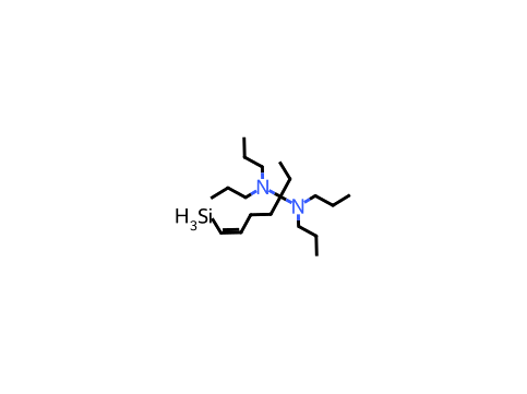 CCCN(CCC)C(CC)(CC/C=C\[SiH3])N(CCC)CCC